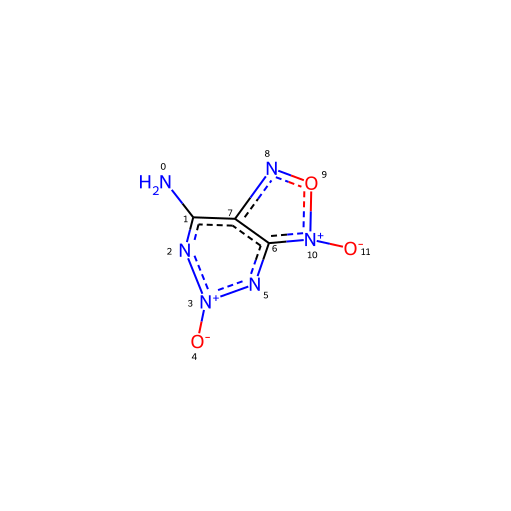 Nc1n[n+]([O-])nc2c1no[n+]2[O-]